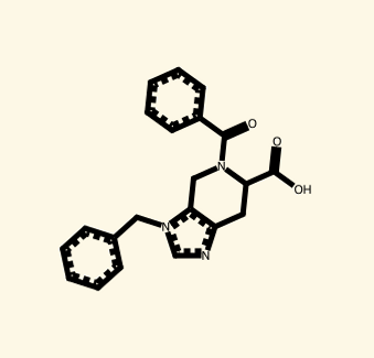 O=C(O)C1Cc2ncn(Cc3ccccc3)c2CN1C(=O)c1ccccc1